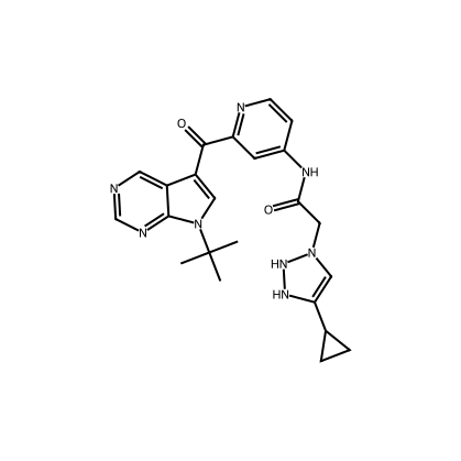 CC(C)(C)n1cc(C(=O)c2cc(NC(=O)CN3C=C(C4CC4)NN3)ccn2)c2cncnc21